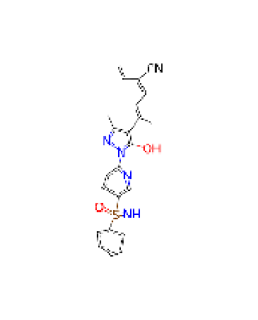 C=C/C(C#N)=C\C=C(/C)c1c(C)nn(-c2ccc(S(=N)(=O)c3ccccc3)cn2)c1O